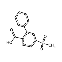 CS(=O)(=O)c1ccc(C(=O)O)c(-c2ccccc2)c1